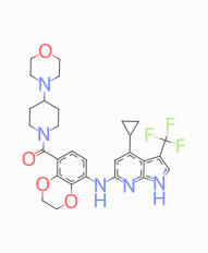 O=C(c1ccc(Nc2cc(C3CC3)c3c(C(F)(F)F)c[nH]c3n2)c2c1OCCO2)N1CCC(N2CCOCC2)CC1